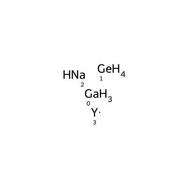 [GaH3].[GeH4].[NaH].[Y]